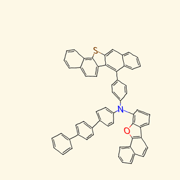 c1ccc(-c2ccc(-c3ccc(N(c4ccc(-c5c6ccccc6cc6sc7c8ccccc8ccc7c56)cc4)c4cccc5c4oc4c6ccccc6ccc54)cc3)cc2)cc1